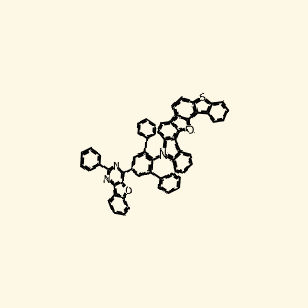 c1ccc(-c2nc(-c3cc(-c4ccccc4)c(-n4c5ccccc5c5c6oc7c(ccc8sc9ccccc9c87)c6ccc54)c(-c4ccccc4)c3)c3oc4ccccc4c3n2)cc1